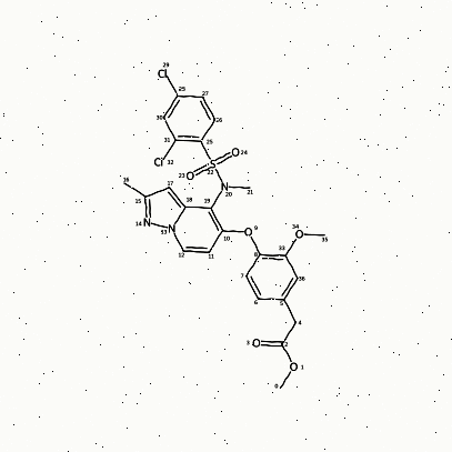 COC(=O)Cc1ccc(Oc2ccn3nc(C)cc3c2N(C)S(=O)(=O)c2ccc(Cl)cc2Cl)c(OC)c1